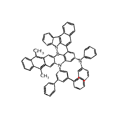 Cc1c2ccccc2c(C)c2cc3c(cc12)B1c2c(cc(N(c4ccccc4)c4ccccc4)cc2N3c2cc(-c3ccccc3)cc(-c3ccccc3)c2)-c2cc3ccccc3c3c4ccccc4n1c23